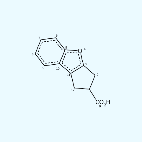 O=C(O)C1Cc2oc3ccccc3c2C1